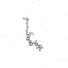 COCCOCCOCCOCCN(Cc1ccc(-c2cc3nccc(Oc4ccc(NC(=O)NC5CC5)cc4F)c3s2)nc1)C(C)=O